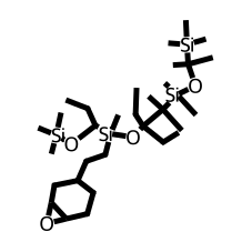 CCC(O[Si](C)(C)C)[Si](C)(CCC1CCC2OC2C1)OC(CC)(CC)C(C)(C)[Si](C)(C)OC(C)(C)[Si](C)(C)C